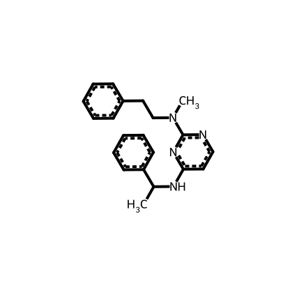 CC(Nc1ccnc(N(C)CCc2ccccc2)n1)c1ccccc1